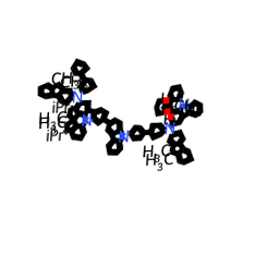 CC(C)C[C@@H](C)C1([C@@H](C)CC(C)C)c2ccccc2-n2c3cc(-c4ccc5c(c4)c4ccccc4n5-c4ccc(-c5ccc(N(c6ccc7c(c6)C(C)(C)c6ccccc6-7)c6cc7c8c(c6)c6ccccc6n8-c6ccccc6C76[C@@H]7CCC[C@H]6C[C@H](C)C7)cc5)cc4)ccc3c3cc(N(c4cccc(-c5ccccc5)c4)c4ccc5c(c4)C(C)(C)c4ccccc4-5)cc1c32